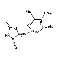 COc1c(C(C)(C)C)cc(/C=C2\SC(=S)NC2=O)cc1C(C)(C)C